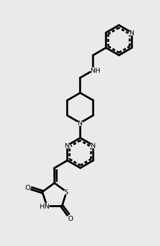 O=C1NC(=O)/C(=C/c2ccnc(N3CCC(CNCc4ccncc4)CC3)n2)S1